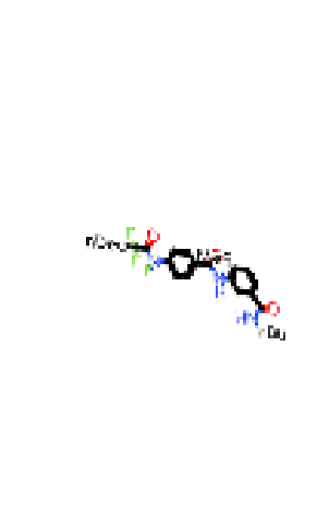 CCCCCCCCCCC(F)(F)C(=O)N(F)c1ccc(C(=O)Nc2cc(C(=O)NCCCC)ccc2SC)cc1